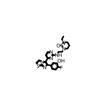 CCN1CCCN(CCNc2nccc(-c3c(-c4ccc(F)c(O)c4)nc4sccn34)n2)[S+]1[O-]